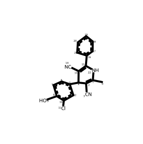 CC1=C(C#N)C(c2ccc(O)c(Cl)c2)C(C#N)=C(c2ccccc2)N1